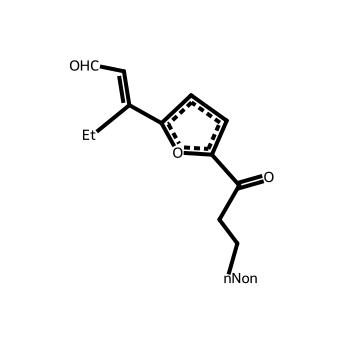 CCCCCCCCCCCC(=O)c1ccc(/C(=C/C=O)CC)o1